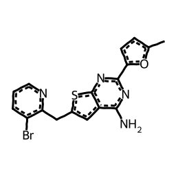 Cc1ccc(-c2nc(N)c3cc(Cc4ncccc4Br)sc3n2)o1